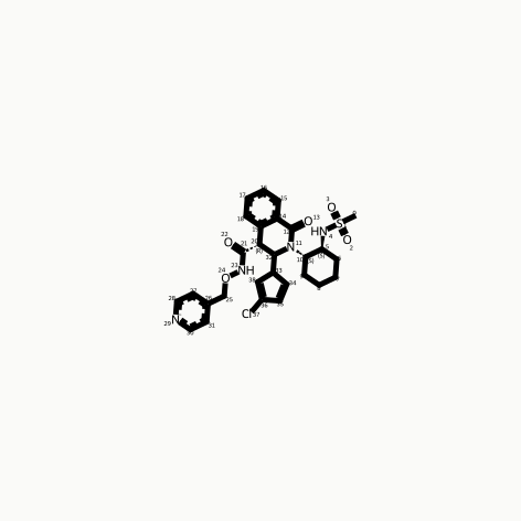 CS(=O)(=O)N[C@H]1CCCC[C@@H]1N1C(=O)c2ccccc2[C@@H](C(=O)NOCc2ccncc2)C1C1C=CC(Cl)=C1